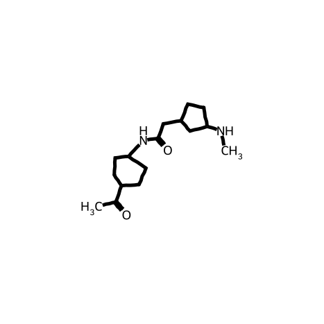 CNC1CCC(CC(=O)NC2CCC(C(C)=O)CC2)C1